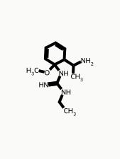 CCNC(=N)NC1(OC)C=CC=CC1C(C)N